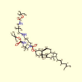 CC(C)CCCCC1CCC2C3CC=C4CC(OC(=O)N(CCCCNCC(C)(C)CNC(=O)OC(C)(C)C)CC(C)(C)CNC(=O)OC(C)(C)C)CCC4(C)C3CCC12C